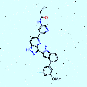 COc1cc(F)cc(-c2cccc3[nH]c(-c4n[nH]c5ccc(-c6cncc(NC(=O)CC(C)C)c6)nc45)cc23)c1